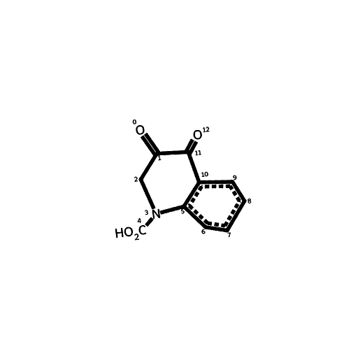 O=C1CN(C(=O)O)c2ccccc2C1=O